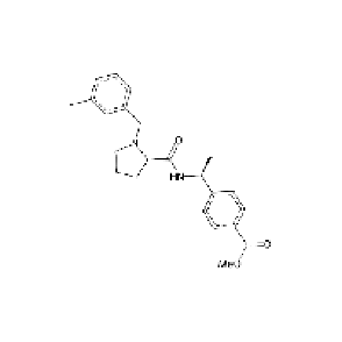 COC(=O)c1ccc([C@H](C)NC(=O)[C@H]2CCCN2Cc2cccc(C)c2)cc1